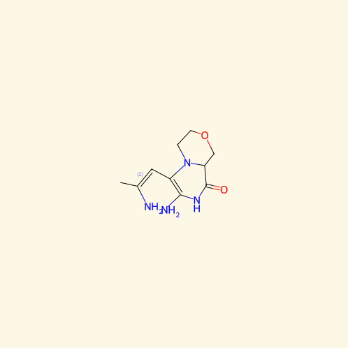 C/C(N)=C/C1=C(N)NC(=O)C2COCCN12